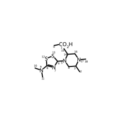 CC(=O)O.CC1CN(C2N=C(N(C)C)SS2)C(C)CN1C